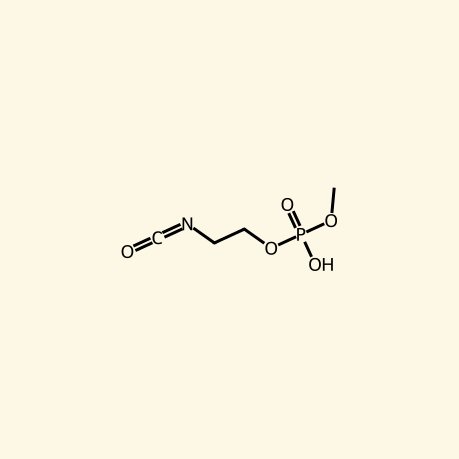 COP(=O)(O)OCCN=C=O